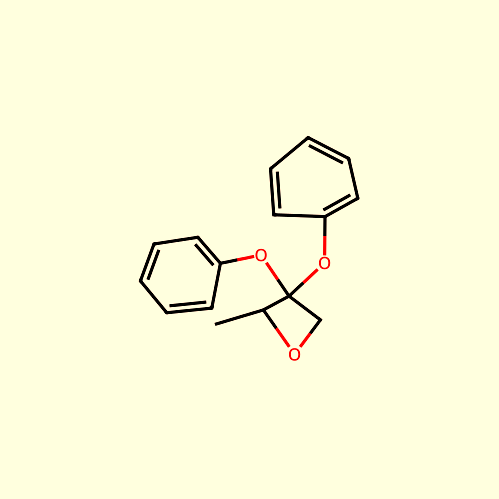 CC1OCC1(Oc1ccccc1)Oc1ccccc1